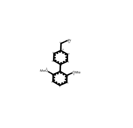 COc1cccc(OC)c1-c1ccc(CC(C)C)cc1